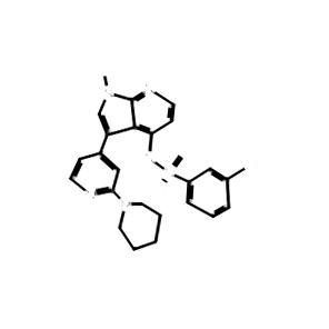 Cn1cc(-c2ccnc(N3CCCCC3)c2)c2c(NS(=O)(=O)c3cccc(Cl)c3)ccnc21